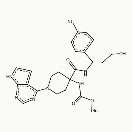 CC(C)(C)OC(=O)NC1(C(=O)N[C@@H](CCO)c2ccc(C#N)cc2)CCN(c2ncnc3[nH]ccc23)CC1